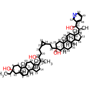 CC[C@]1(O)CC[C@@]2(C)C(=CC[C@H]3[C@@H]4CC[C@H]([C@H](C)[C@H](O)CCC5CC5CC[C@]5(O)CC[C@@]6(C)[C@@H](CC[C@@H]7[C@@H]6CC[C@]6(C)[C@@H]([C@H](C)[C@@H](O)c8cccnc8)CC[C@@H]76)C5)[C@@]4(C)CC[C@@H]32)C1